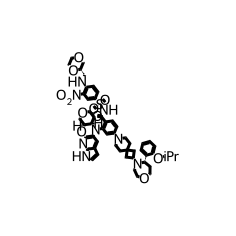 CC(C)Oc1ccccc1[C@@H]1CCOCCN1C1CC2(CCN(c3ccc(C(=O)NS(=O)(=O)c4ccc(NC[C@H]5COCCO5)c([N+](=O)[O-])c4)c(N4c5cc6cc[nH]c6nc5O[C@H]5COCC[C@@H]54)c3)CC2)C1